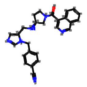 N#Cc1ccc(Cn2cncc2CN[C@H]2CCN(C(=O)c3cncc4ccccc34)C2)cc1